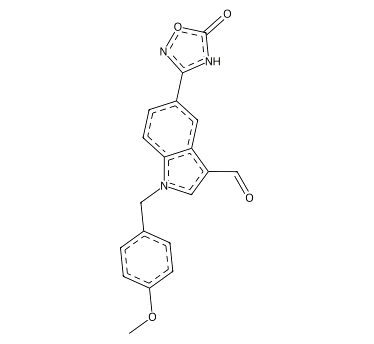 COc1ccc(Cn2cc(C=O)c3cc(-c4noc(=O)[nH]4)ccc32)cc1